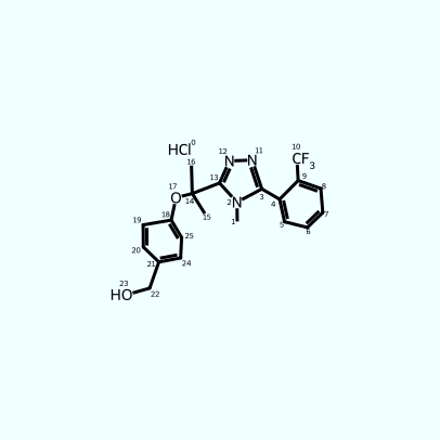 Cl.Cn1c(-c2ccccc2C(F)(F)F)nnc1C(C)(C)Oc1ccc(CO)cc1